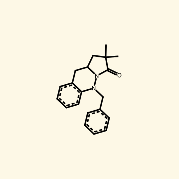 CC1(C)CC2Cc3ccccc3N(Cc3ccccc3)N2C1=O